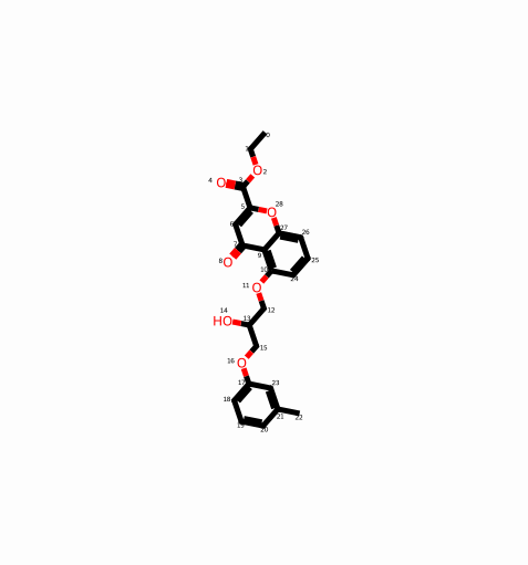 CCOC(=O)c1cc(=O)c2c(OCC(O)COc3cccc(C)c3)cccc2o1